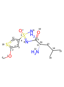 COc1cc(S(N)(=O)=NC(=O)[C@@H](N)CC(C)C)cs1